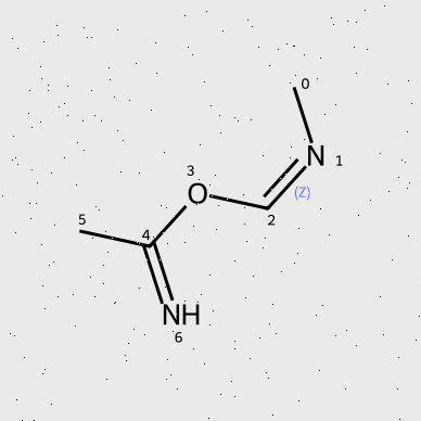 C/N=C\OC(C)=N